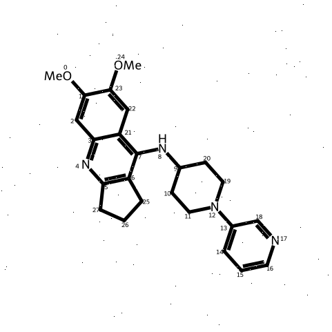 COc1cc2nc3c(c(NC4CCN(c5cccnc5)CC4)c2cc1OC)CCC3